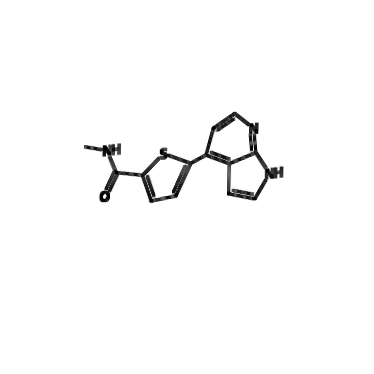 CNC(=O)c1ccc(-c2ccnc3[nH]ccc23)s1